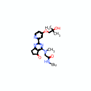 CN(CC(=O)NC(C)(C)C)c1nc(-c2cc(OCC(C)(C)O)ccn2)nc2c1C(=O)CC2